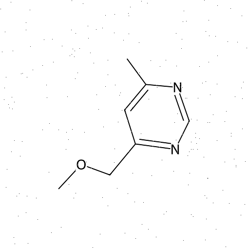 COCc1cc(C)ncn1